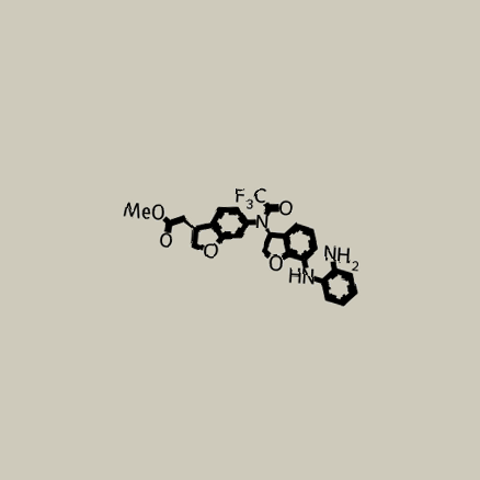 COC(=O)C[C@@H]1COc2cc(N(C(=O)C(F)(F)F)[C@@H]3COc4c(Nc5ccccc5N)cccc43)ccc21